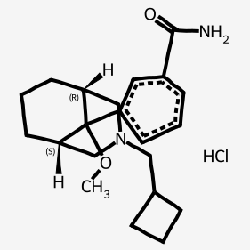 COC1(c2cccc(C(N)=O)c2)[C@@H]2CCC[C@H]1CN(CC1CCC1)C2.Cl